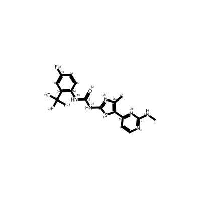 CNc1nccc(-c2sc(NC(=O)Nc3ccc(F)cc3C(F)(F)F)nc2C)n1